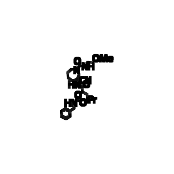 COCCNC(=O)N1CCCCC(C#N)(NC(=O)C(CC(C)C)OC(=O)NCc2ccccc2)C1